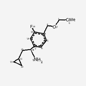 COCOCc1ccc(C(N)CC2CC2)cc1F